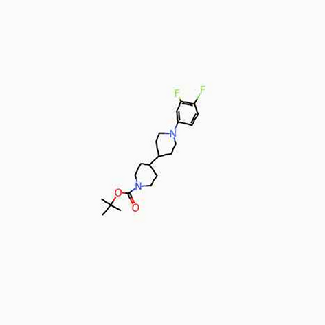 CC(C)(C)OC(=O)N1CCC(C2CCN(c3ccc(F)c(F)c3)CC2)CC1